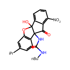 CCCCNC(=O)NC12C(=O)c3c([N+](=O)[O-])cccc3C1(O)Oc1cc(C(C)C)ccc12